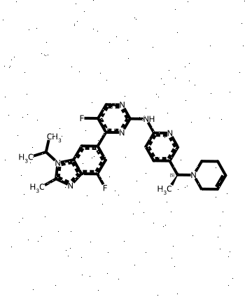 Cc1nc2c(F)cc(-c3nc(Nc4ccc([C@H](C)N5CC=CCC5)cn4)ncc3F)cc2n1C(C)C